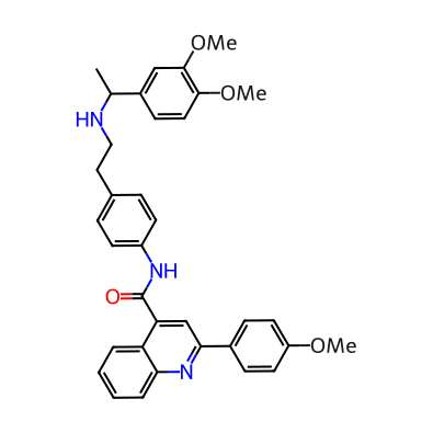 COc1ccc(-c2cc(C(=O)Nc3ccc(CCNC(C)c4ccc(OC)c(OC)c4)cc3)c3ccccc3n2)cc1